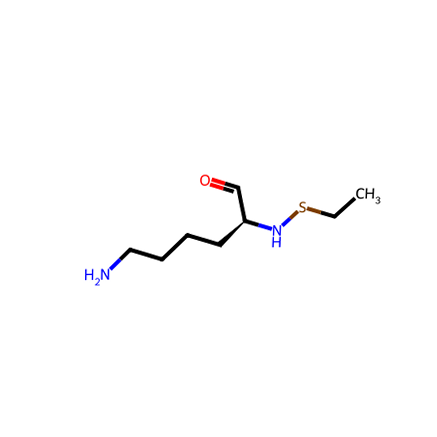 CCSN[C@H](C=O)CCCCN